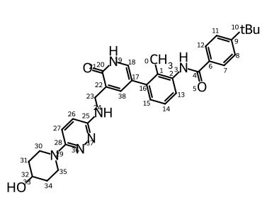 Cc1c(NC(=O)c2ccc(C(C)(C)C)cc2)cccc1-c1c[nH]c(=O)c(CNc2ccc(N3CCC(O)CC3)nn2)c1